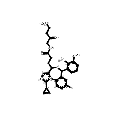 COc1cccc(C2SC(CCC(=O)NCC(=O)CCC(=O)O)c3nnc(C4CC4)n3-c3ccc(Cl)cc32)c1OC